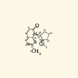 Cc1ncc2ccc(=O)n([C@H]3CCC[C@H]3C)c2n1